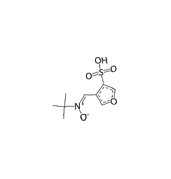 CC(C)(C)[N+]([O-])=Cc1cocc1S(=O)(=O)O